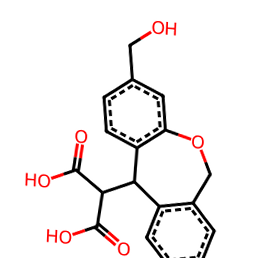 O=C(O)C(C(=O)O)C1c2ccccc2COc2cc(CO)ccc21